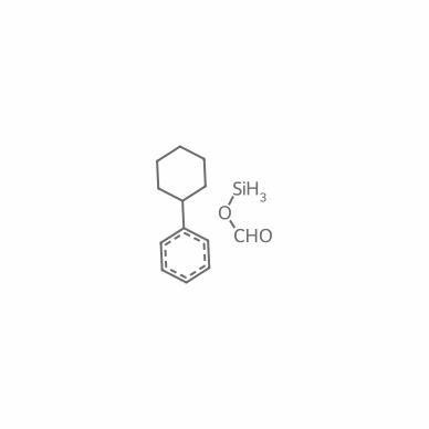 O=CO[SiH3].c1ccc(C2CCCCC2)cc1